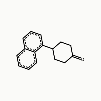 O=C1CCC(c2cccc3ccccc23)CC1